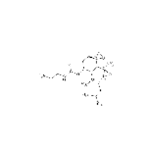 COC1C(OC(=O)NCCN)CC[C@]2(CO2)C1[C@@]1(C)O[C@@H]1CCC(C)C